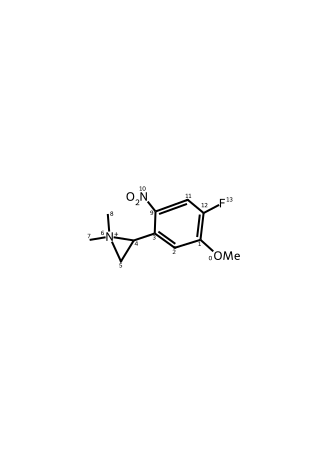 COc1cc(C2C[N+]2(C)C)c([N+](=O)[O-])cc1F